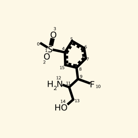 CS(=O)(=O)c1cccc(C(F)C(N)CO)c1